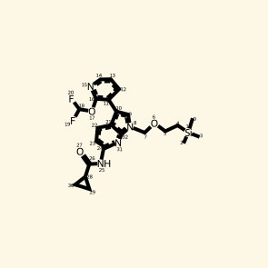 C[Si](C)(C)CCOCn1cc(-c2cccnc2OC(F)F)c2ccc(NC(=O)C3CC3)nc21